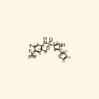 O=S(=O)(Nc1cc(F)c(C(F)(F)F)cc1F)c1c[nH]c(-c2cccs2)c1